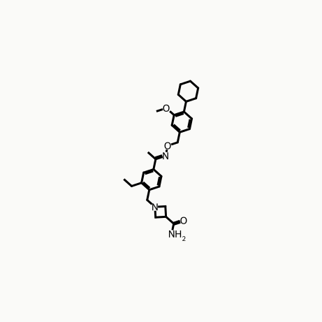 CCc1cc(/C(C)=N/OCc2ccc(C3CCCCC3)c(OC)c2)ccc1CN1CC(C(N)=O)C1